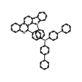 c1ccc(-c2ccc(N(c3ccc(-c4ccccc4)cc3)c3ccc(-c4nc5ccccc5c5ccc6c7ccccc7n(-c7ccccc7)c6c45)cc3)cc2)cc1